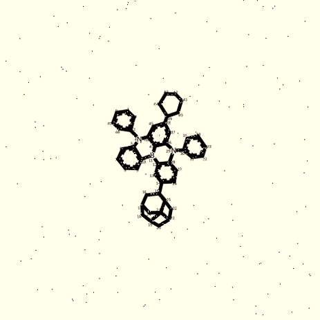 c1ccc(N2c3ccccc3B3c4cc(C56CC7CC8CC(C5)C8(C7)C6)ccc4N(c4ccccc4)c4cc(C5CCCCC5)cc2c43)cc1